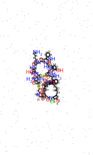 COc1cc2cc(c1Cl)N(C)C(=O)C[C@H](OC(=O)[C@H](C)N(C)C(=O)CCSSC(C)(C)[C@H](NC(=O)[C@@H]1CSSC[C@H](NC(=O)[C@H](N)Cc3ccccc3)C(=O)N[C@@H](Cc3ccc(O)cc3)C(=O)N[C@H](Cc3c[nH]c4ccccc34)C(=O)N[C@@H](CCCCCN)C(=O)N[C@@H]([C@@H](C)O)C(=O)N1)C(N)=O)[C@@]1(C)CC(C)(O1)[C@@H]1C[C@@](O)(NC(=O)O1)[C@H](OC)/C=C/C=C(\C)C2